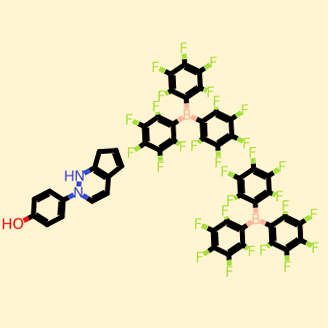 Fc1c(F)c(F)c(B(c2c(F)c(F)c(F)c(F)c2F)c2c(F)c(F)c(F)c(F)c2F)c(F)c1F.Fc1c(F)c(F)c(B(c2c(F)c(F)c(F)c(F)c2F)c2c(F)c(F)c(F)c(F)c2F)c(F)c1F.Oc1ccc(N2C=CC3=C(CC=C3)N2)cc1